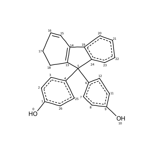 Oc1ccc(C2(c3ccc(O)cc3)C3=C(C=CCC3)c3ccccc32)cc1